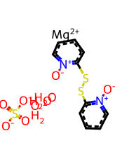 O.O.O.O=S(=O)([O-])[O-].[Mg+2].[O-][n+]1ccccc1SSc1cccc[n+]1[O-]